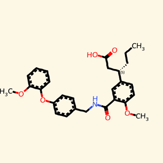 CCC[C@@H](CC(=O)O)c1ccc(OC)c(C(=O)NCc2ccc(Oc3ccccc3OC)cc2)c1